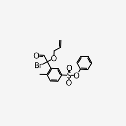 C=CCOC(Br)(C=O)c1cc(S(=O)(=O)Oc2ccccc2)ccc1C